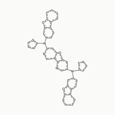 c1csc(N(c2ccc3c(c2)oc2ccccc23)c2cnc3c(c2)oc2cc(N(c4ccc5c(c4)oc4ccccc45)c4cccs4)ncc23)c1